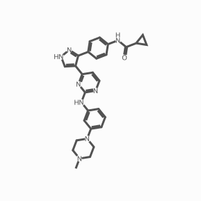 CN1CCN(c2cccc(Nc3nccc(-c4c[nH]nc4-c4ccc(NC(=O)C5CC5)cc4)n3)c2)CC1